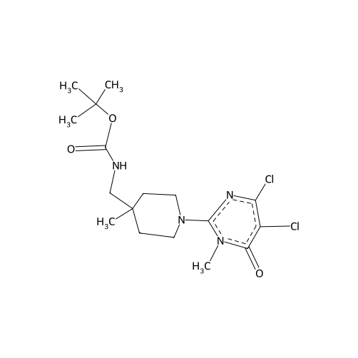 Cn1c(N2CCC(C)(CNC(=O)OC(C)(C)C)CC2)nc(Cl)c(Cl)c1=O